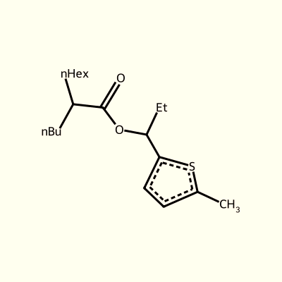 CCCCCCC(CCCC)C(=O)OC(CC)c1ccc(C)s1